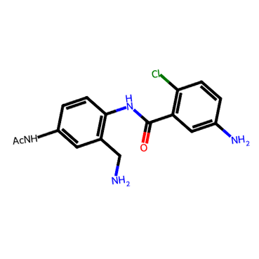 CC(=O)Nc1ccc(NC(=O)c2cc(N)ccc2Cl)c(CN)c1